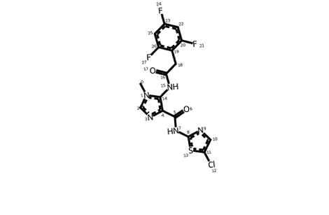 Cn1cnc(C(=O)Nc2ncc(Cl)s2)c1NC(=O)Cc1c(F)cc(F)cc1F